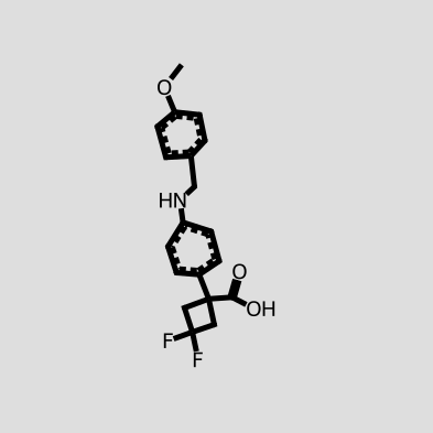 COc1ccc(CNc2ccc(C3(C(=O)O)CC(F)(F)C3)cc2)cc1